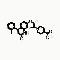 Cc1ccccc1-c1cc(=O)[nH]c2cc(O[C@H](C)C(=O)N3CCC(C(=O)O)CC3)ccc12